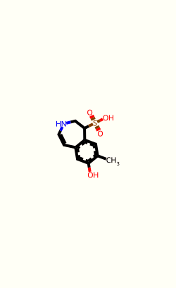 Cc1cc2c(cc1O)C=CNCC2S(=O)(=O)O